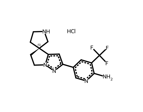 Cl.Nc1ncc(-c2cc3n(n2)CC[C@]32CCNC2)cc1C(F)(F)F